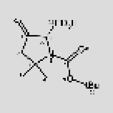 C=C1CC(C)(C)N(C(=O)OC(C)(C)C)[C@H]1C(=O)O